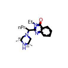 CCCC(c1nc2ccccc2c(=O)n1CC)N1C[C@@H](C)N[C@@H](C)C1